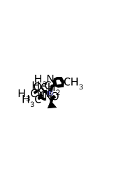 C=C(/C=C1\C(=C)N(C(C)=O)C(C)CN1C(=O)C1CC1)C1=C(N)CC=C(C)C=C1